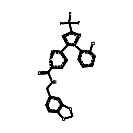 O=C(NCc1ccc2c(c1)OCO2)c1ccc(-c2cc(C(F)(F)F)nn2-c2ccccc2Cl)cc1